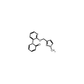 Cn1ccc(COc2ncccc2-n2ccccc2=O)n1